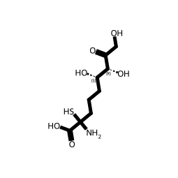 NC(S)(CCC[C@H](O)[C@@H](O)C(=O)CO)C(=O)O